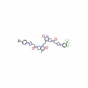 Cc1cc(=O)n(CCc2cc(=O)n(C)c3c2CN(C(=O)CC2CN(c4ccc(F)c(C(F)(F)F)c4)C2)C3)c2c1CN(C(=O)CC1CN(c3ccc(C4CC4)cc3)C1)C2